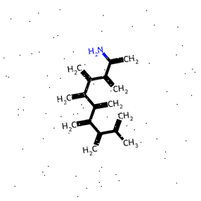 C=C(C)C(=C)C(=C)C(=C)C(=C)C(=C)C(=C)C(=C)N